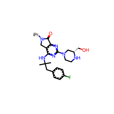 CC(C)N1Cc2c(NC(C)(C)Cc3ccc(F)cc3)nc(N3CCN[C@@H](CO)C3)nc2C1=O